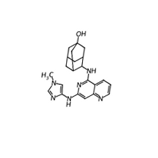 Cn1cnc(Nc2cc3ncccc3c(NC3C4CC5CC3CC(O)(C5)C4)n2)c1